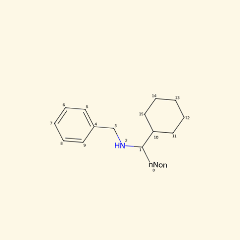 CCCCCCCCCC(NCc1ccccc1)C1CCCCC1